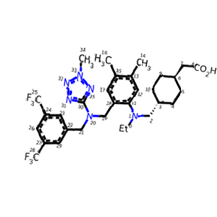 CCN(C[C@H]1CC[C@H](CC(=O)O)CC1)c1cc(C)c(C)cc1CN(Cc1cc(C(F)(F)F)cc(C(F)(F)F)c1)c1nnn(C)n1